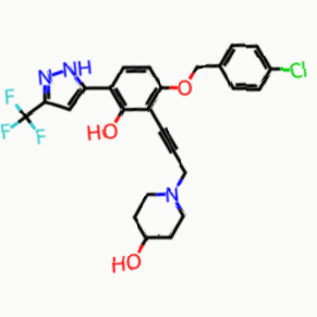 Oc1c(-c2cc(C(F)(F)F)n[nH]2)ccc(OCc2ccc(Cl)cc2)c1C#CCN1CCC(O)CC1